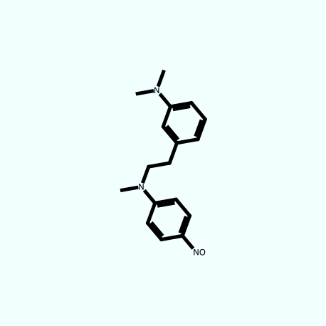 CN(C)c1cccc(CCN(C)c2ccc(N=O)cc2)c1